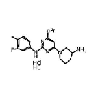 CCCc1cc(N2CCCC(N)C2)nc(Nc2ccc(C)c(F)c2)n1.Cl.Cl